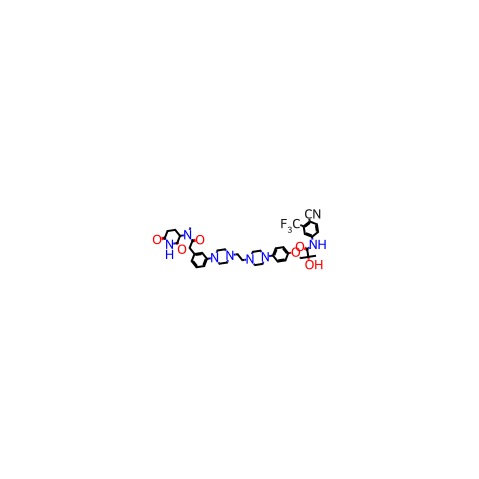 CN(C(=O)Cc1cccc(N2CCN(CCN3CCN(c4ccc(OCC(C)(O)C(=O)Nc5ccc(C#N)c(C(F)(F)F)c5)cc4)CC3)CC2)c1)C1CCC(=O)NC1=O